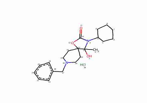 CC1(O)N(C2CCCCC2)C(=O)OC12CCN(Cc1ccccc1)CC2.Cl